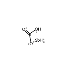 O=C([O-])O.[SbH4+]